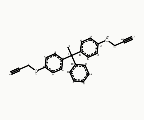 C#CCOc1ccc(C(C)(c2ccccc2)c2ccc(OCC#C)cc2)cc1